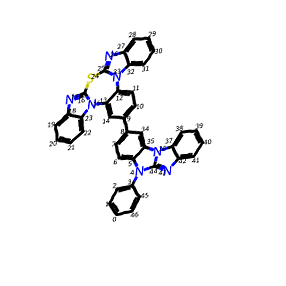 c1ccc(-n2c3ccc(-c4ccc5c(c4)n4c(nc6ccccc64)sc4nc6ccccc6n45)cc3n3c4ccccc4nc23)cc1